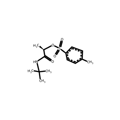 Cc1ccc(S(=O)(=O)O[C@H](C)C(=O)NC(C)(C)C)cc1